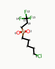 O=S(=O)(CCCCCCl)CCC(F)(F)F